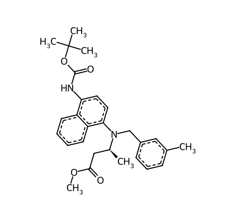 COC(=O)C[C@H](C)N(Cc1cccc(C)c1)c1ccc(NC(=O)OC(C)(C)C)c2ccccc12